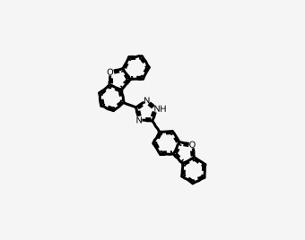 c1ccc2c(c1)oc1cc(-c3nc(-c4cccc5oc6ccccc6c45)n[nH]3)ccc12